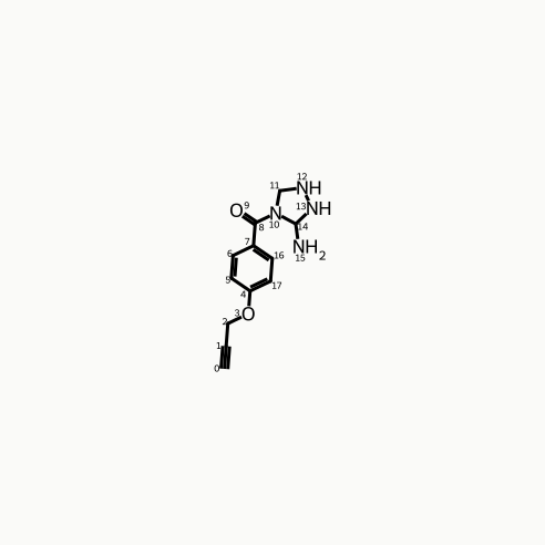 C#CCOc1ccc(C(=O)N2CNNC2N)cc1